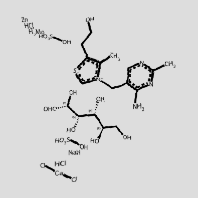 Cc1ncc(C[n+]2csc(CCO)c2C)c(N)n1.Cl.Cl.O=C[C@H](O)[C@@H](O)[C@H](O)[C@H](O)CO.O=S(=O)(O)O.O=S(=O)(O)O.[Cl][Ca][Cl].[MgH2].[NaH].[Zn]